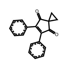 O=C1C(c2ccccc2)=C(c2ccccc2)C(=O)C12CC2